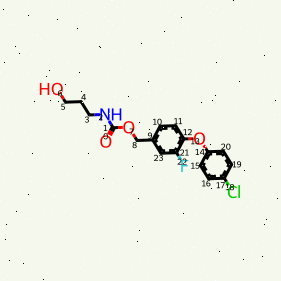 O=C(NCCCO)OCc1ccc(Oc2ccc(Cl)cc2)c(F)c1